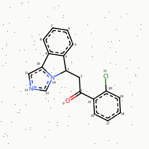 O=C(CC1c2ccccc2-c2cncn21)c1ccccc1Cl